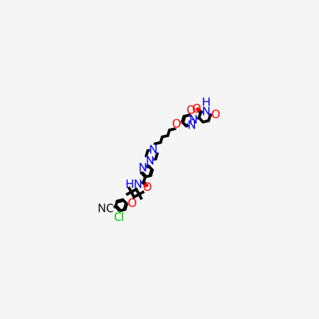 CC1(C)[C@H](NC(=O)c2ccc(N3CCN(CCCCCCOc4cnn(C5CCC(=O)NC5=O)c(=O)c4)CC3)nc2)C(C)(C)[C@H]1Oc1ccc(C#N)c(Cl)c1